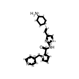 N[C@H]1CC[C@H](/C=C/c2csc(NC(=O)c3cccn3Cc3ccncc3)n2)CC1